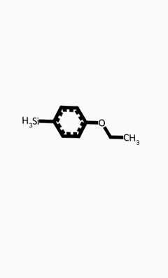 CCOc1ccc([SiH3])cc1